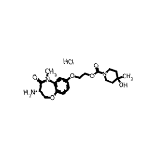 CN1C(=O)[C@@H](N)COc2ccc(OCCOC(=O)N3CCC(C)(O)CC3)cc21.Cl